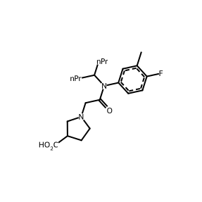 CCCC(CCC)N(C(=O)CN1CCC(C(=O)O)C1)c1ccc(F)c(C)c1